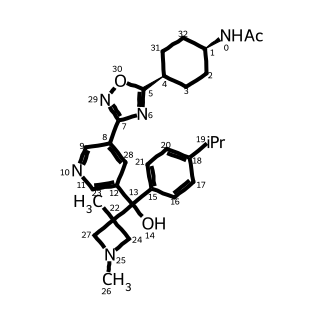 CC(=O)N[C@H]1CC[C@@H](c2nc(-c3cncc(C(O)(c4ccc(C(C)C)cc4)C4(C)CN(C)C4)c3)no2)CC1